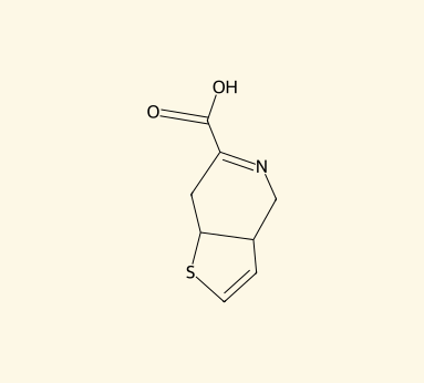 O=C(O)C1=NCC2C=CSC2C1